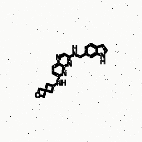 c1cc2ccc(CNc3cnc4ccc(NC5CC6(COC6)C5)nc4n3)cc2[nH]1